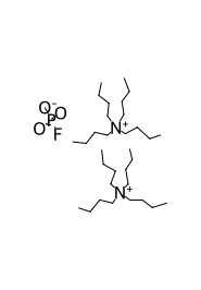 CCCC[N+](CCCC)(CCCC)CCCC.CCCC[N+](CCCC)(CCCC)CCCC.O=P([O-])([O-])F